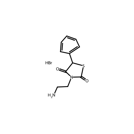 Br.NCCN1C(=O)SC(c2ccccc2)C1=O